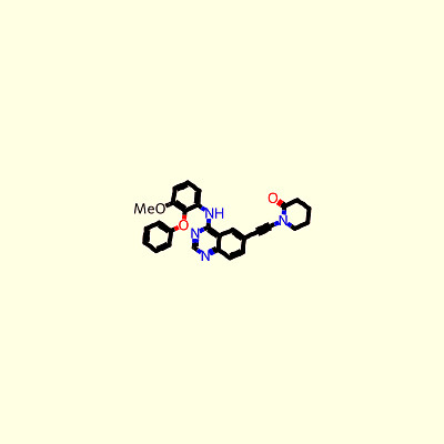 COc1cccc(Nc2ncnc3ccc(C#CN4CCCCC4=O)cc23)c1Oc1ccccc1